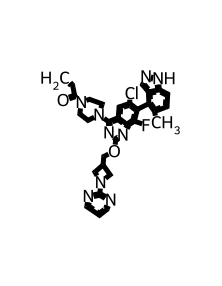 C=CC(=O)N1CCN(c2nc(OCC3CN(c4ncccn4)C3)nc3c(F)c(-c4c(C)ccc5[nH]ncc45)c(Cl)cc23)CC1